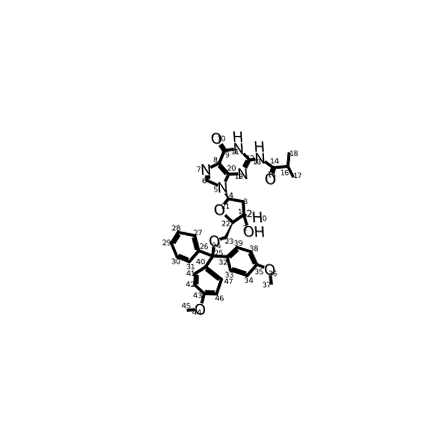 [2H][C@]1(O)C[C@H](n2cnc3c(=O)[nH]c(NC(=O)C(C)C)nc32)O[C@@H]1COC(c1ccccc1)(c1ccc(OC)cc1)c1ccc(OC)cc1